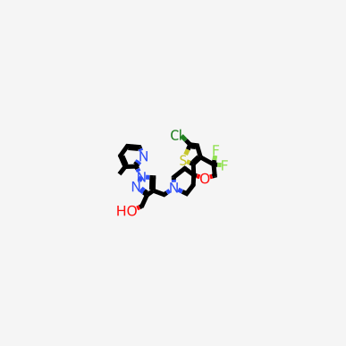 Cc1cccnc1-n1cc(CN2CCC3(CC2)OCC(F)(F)c2cc(Cl)sc23)c(CO)n1